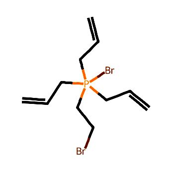 C=CCP(Br)(CC=C)(CC=C)CCBr